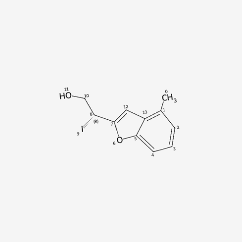 Cc1cccc2oc([C@H](I)CO)cc12